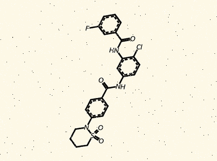 O=C(Nc1ccc(Cl)c(NC(=O)c2cccc(F)c2)c1)c1ccc(N2CCCCS2(=O)=O)cc1